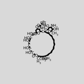 CCCNC(=O)N[C@H]1C2C[C@@H](OC3OC(C)C(O)C(N)C3O)/C=C/C=C/C=C/C=C/C=C/C=C/C=C/[C@H](C)[C@@H](O)[C@@H](C)[C@H](C)OC(=O)C[C@H](O)C[C@H](O)CC[C@@H](O)[C@H](O)C[C@H](O)C[C@](O)(C[C@@H]1O)O2